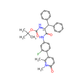 Cc1c(-c2ccc(NC(=O)[C@@H](NC(=O)OC(C)(C)C)C(c3ccccc3)c3ccccc3)cc2F)ccc(=O)n1C